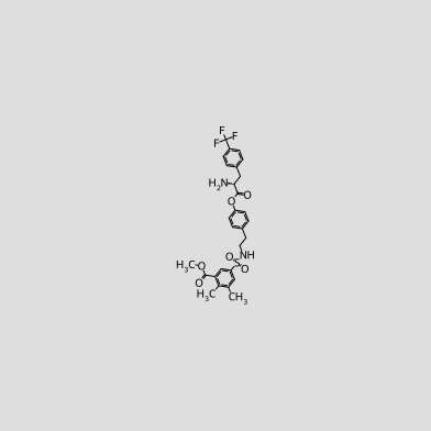 COC(=O)c1cc(S(=O)(=O)NCCc2ccc(OC(=O)[C@@H](N)Cc3ccc(C(F)(F)F)cc3)cc2)cc(C)c1C